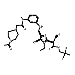 CCn1c(=C(C#N)C(=O)NCC(F)(F)F)sc(=CNc2cccc(N(C)C(=O)CN3CCN(C(C)=O)CC3)c2)c1=O